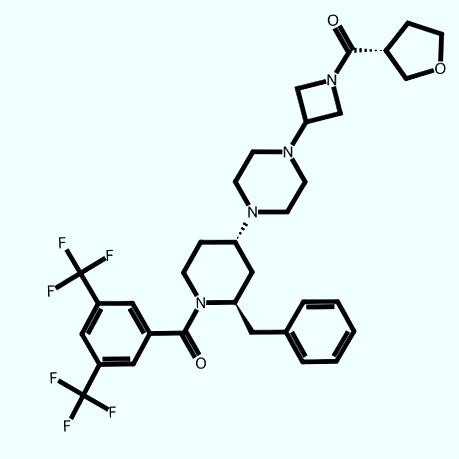 O=C([C@@H]1CCOC1)N1CC(N2CCN([C@H]3CCN(C(=O)c4cc(C(F)(F)F)cc(C(F)(F)F)c4)[C@H](Cc4ccccc4)C3)CC2)C1